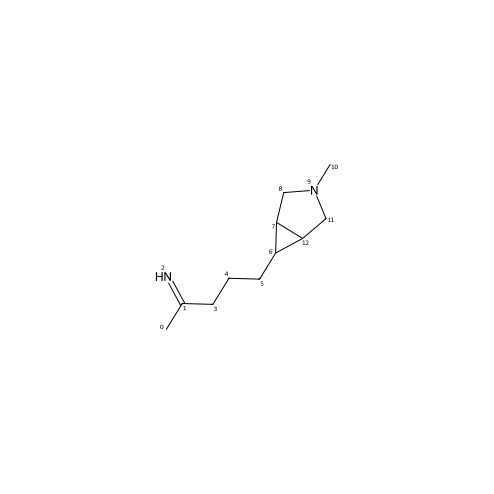 CC(=N)CCCC1C2CN(C)CC12